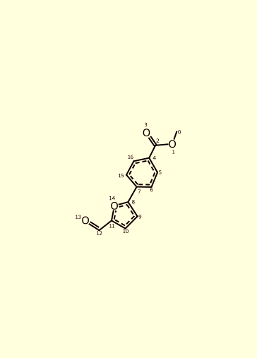 COC(=O)c1ccc(-c2ccc(C=O)o2)cc1